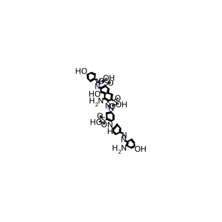 Nc1cc(O)ccc1/N=N/c1ccc(Nc2ccc(/N=N/c3c(S(=O)(=O)O)cc4cc(S(=O)(=O)O)c(/N=N/c5ccc(O)cc5)c(O)c4c3N)cc2S(=O)(=O)O)cc1